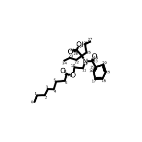 CCCCCCCC(=O)OCCN(C(=O)c1ccccc1)C(CCC)(CCC)C(=O)O